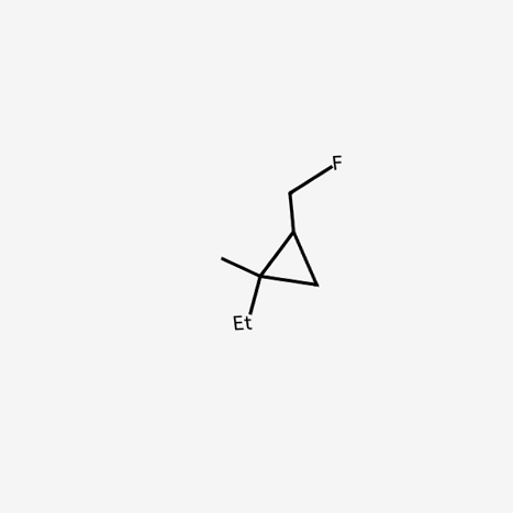 CCC1(C)CC1CF